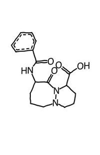 O=C(NC1CCCN2CCCC(C(=O)O)N2C1=O)c1ccccc1